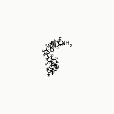 Cc1cc(-c2ccc(Cn3cnn(CC(CN)=C(F)F)c3=O)s2)cc2c1N(OC(=O)C(F)(F)F)C(=O)CC2